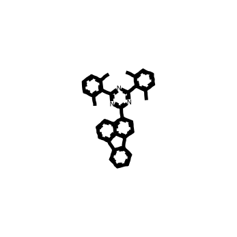 Cc1cccc(C)c1-c1nc(-c2c(C)cccc2C)nc(-c2ccc3c4c(cccc24)-c2ccccc2-3)n1